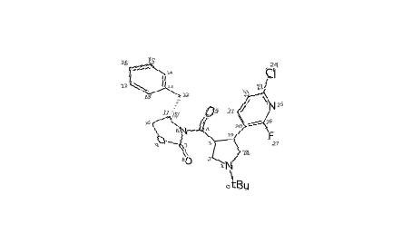 CC(C)(C)N1CC(C(=O)N2C(=O)OC[C@@H]2Cc2ccccc2)C(c2ccc(Cl)nc2F)C1